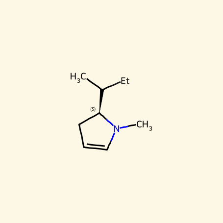 CCC(C)[C@@H]1CC=CN1C